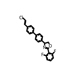 Fc1cccc(F)c1C1=NC(c2ccc(-c3ccc(C=CCl)cc3)cc2)CO1